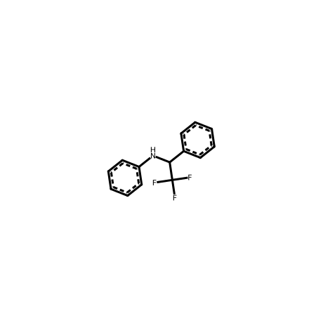 FC(F)(F)C(Nc1ccccc1)c1ccccc1